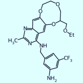 CCOCC1COCCOc2cc3nc(C)nc(NCc4cc(N)cc(C(F)(F)F)c4)c3cc2O1